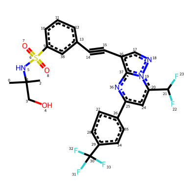 CC(C)(CO)NS(=O)(=O)c1cccc(C#Cc2cnn3c(C(F)F)cc(-c4ccc(C(F)(F)F)cc4)nc23)c1